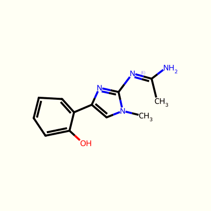 C/C(N)=N\c1nc(-c2ccccc2O)cn1C